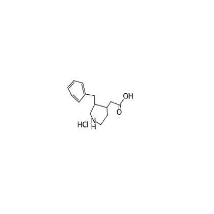 Cl.O=C(O)CC1CCNCC1Cc1ccccc1